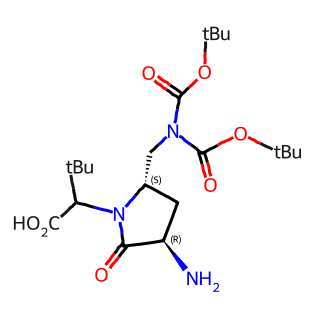 CC(C)(C)OC(=O)N(C[C@@H]1C[C@@H](N)C(=O)N1C(C(=O)O)C(C)(C)C)C(=O)OC(C)(C)C